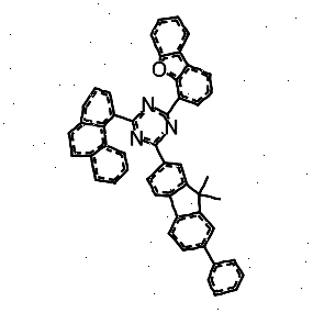 CC1(C)c2cc(-c3ccccc3)ccc2-c2ccc(-c3nc(-c4cccc5c4oc4ccccc45)nc(-c4cccc5ccc6ccccc6c45)n3)cc21